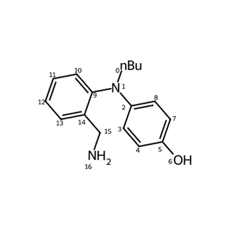 CCCCN(c1ccc(O)cc1)c1ccccc1CN